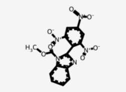 COC(=O)n1c(-c2c([N+](=O)[O-])cc([N+](=O)[O-])cc2[N+](=O)[O-])nc2ccccc21